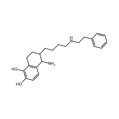 NC1c2ccc(O)c(O)c2CCC1CCCCNCCc1ccccc1